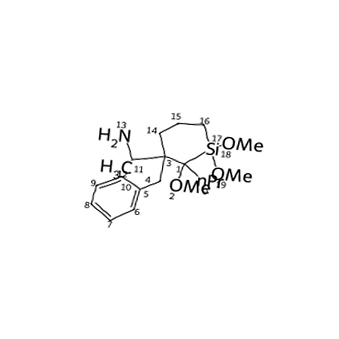 CCCC1(OC)C(Cc2ccccc2)(C(C)N)CCC[Si]1(OC)OC